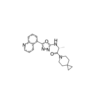 C[C@@H](Nc1nnc(-c2cccc3ncccc23)o1)C(=O)N1CCC2(CC1)CC2